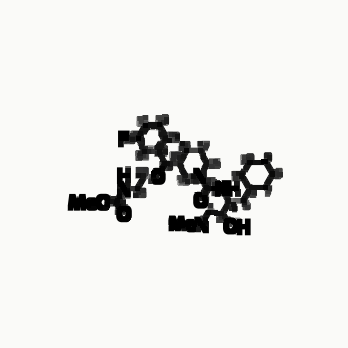 CNCC(O)C(CC1CCCCC1)NC(=O)N1CCCC(C(OCCNC(=O)OC)c2cccc(F)c2)C1